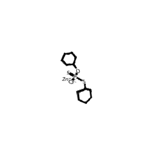 [O-]P(=S)(OC1CCCCC1)SC1CCCCC1.[Zn+]